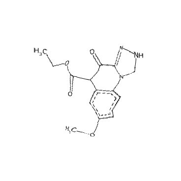 CCOC(=O)C1C(=O)C2=NNCN2c2ccc(OC)cc21